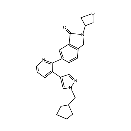 O=C1c2cc(-c3ncccc3-c3cnn(CC4CCCC4)c3)ccc2CN1C1COC1